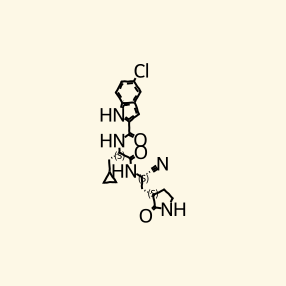 N#C[C@H](C[C@@H]1CCNC1=O)NC(=O)[C@H](CC1CC1)NC(=O)c1cc2cc(Cl)ccc2[nH]1